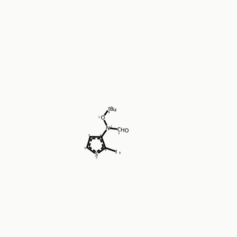 CC(C)(C)ON(C=O)c1ccsc1I